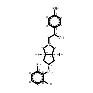 Oc1ccc(C(O)CN2C[C@H]3C[C@@H](Oc4c(F)cccc4F)C[C@H]3C2)cc1